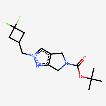 CC(C)(C)OC(=O)N1Cc2cn(CC3CC(F)(F)C3)nc2C1